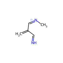 C=C(C=N)/C=N\C